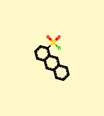 O=S(=O)(Cl)c1cccc2cc3ccccc3cc12